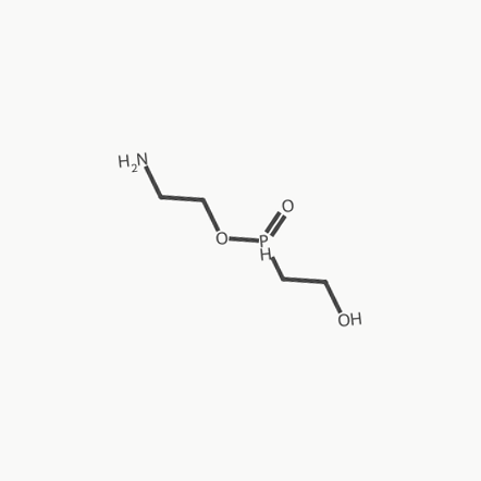 NCCO[PH](=O)CCO